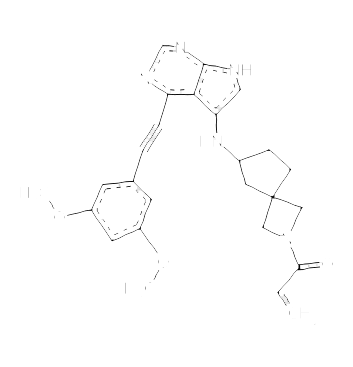 C=CC(=O)N1CC2(CCC(Nc3c[nH]c4ncnc(C#Cc5cc(OC)cc(OC)c5)c34)C2)C1